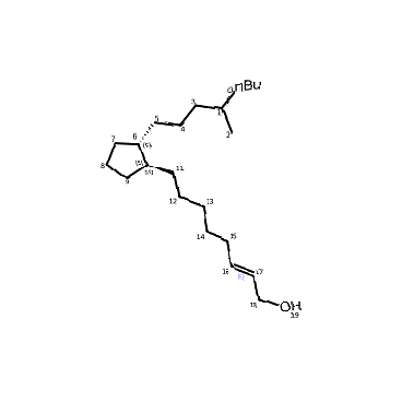 CCCCC(C)CCC[C@H]1CCC[C@@H]1CCCCC/C=C/CO